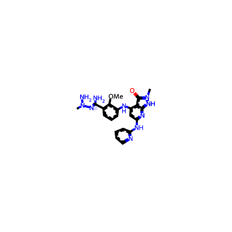 COc1c(Nc2cc(Nc3ccccn3)nc3[nH]n(C)c(=O)c23)cccc1/C(N)=N/N(C)N